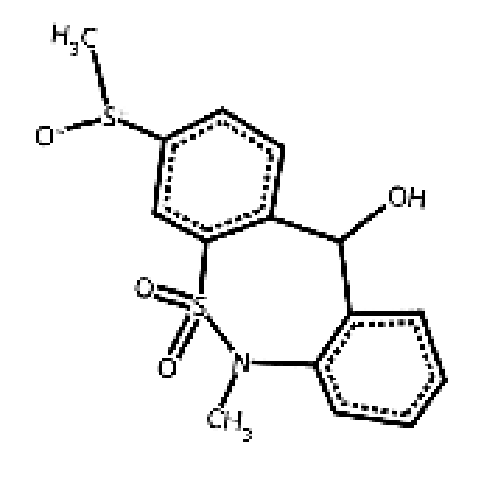 CN1c2ccccc2C(O)c2ccc([S+](C)[O-])cc2S1(=O)=O